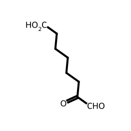 O=CC(=O)CCCCCC(=O)O